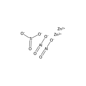 [O]=[Al][O-].[O]=[Al][O-].[O]=[Ti]([O-])[O-].[Zn+2].[Zn+2]